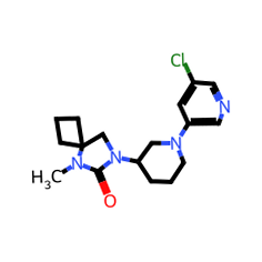 CN1C(=O)N(C2CCCN(c3cncc(Cl)c3)C2)CC12CCC2